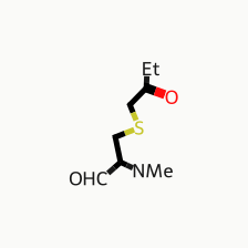 CCC(=O)CSCC(C=O)NC